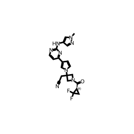 Cn1cc(Nc2nccc(-c3ccn(C4(CC#N)CN(C(=O)[C@H]5CC5(F)F)C4)c3)n2)cn1